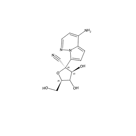 N#C[C@@]1(c2ccc3c(N)ccnn23)O[C@H](CO)C(O)[C@@H]1O